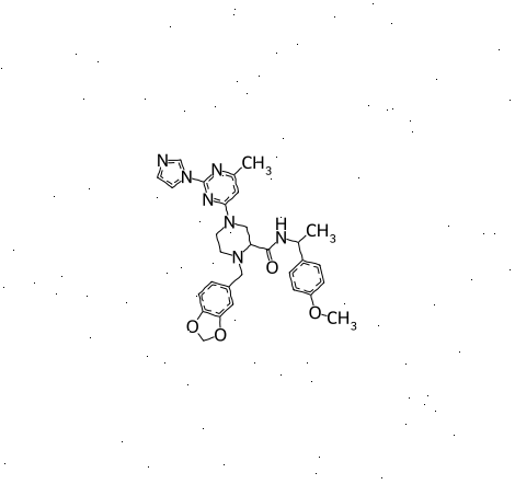 COc1ccc(C(C)NC(=O)C2CN(c3cc(C)nc(-n4ccnc4)n3)CCN2Cc2ccc3c(c2)OCO3)cc1